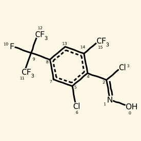 ON=C(Cl)c1c(Cl)cc(C(F)(C(F)(F)F)C(F)(F)F)cc1C(F)(F)F